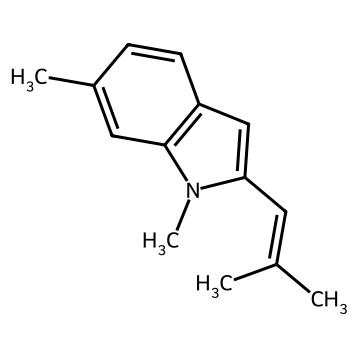 CC(C)=Cc1cc2ccc(C)cc2n1C